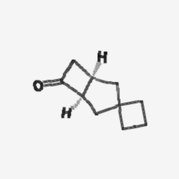 O=C1C[C@H]2CC3(CCC3)C[C@@H]12